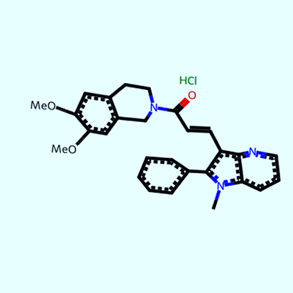 COc1cc2c(cc1OC)CN(C(=O)/C=C/c1c(-c3ccccc3)n(C)c3cccnc13)CC2.Cl